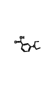 CCN(CC)c1cccc(C(=O)O)c1